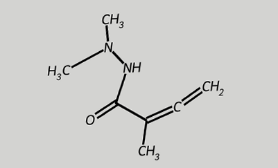 C=C=C(C)C(=O)NN(C)C